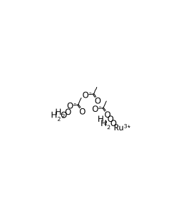 CC(=O)[O-].CC(=O)[O-].CC(=O)[O-].O.O.O.O.[Ru+3]